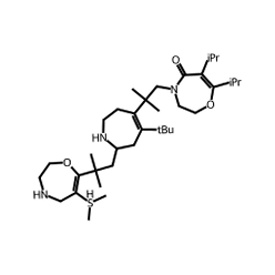 CC(C)C1=C(C(C)C)C(=O)N(CC(C)(C)C2=C(C(C)(C)C)CC(CC(C)(C)C3=C([SH](C)C)CNCCO3)NCC2)CCO1